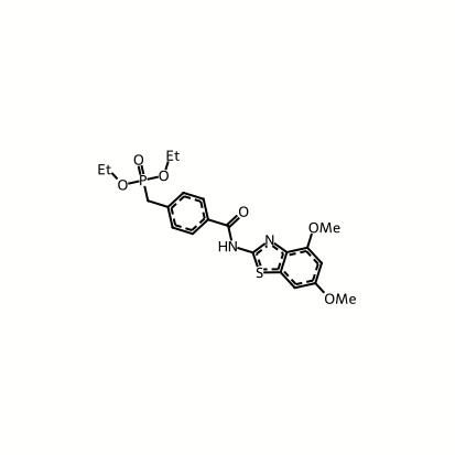 CCOP(=O)(Cc1ccc(C(=O)Nc2nc3c(OC)cc(OC)cc3s2)cc1)OCC